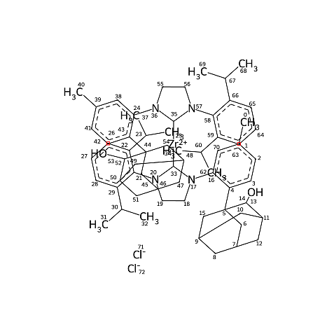 Cc1ccc(C23CC4CC(CC(C4)C2O)C3)c(N2CCN(c3c(C(C)C)cccc3C(C)C)[CH]2[Zr+2][CH]2N(c3cc(C)ccc3C34CC5CC(CC(C5)C3O)C4)CCN2c2c(C(C)C)cccc2C(C)C)c1.[Cl-].[Cl-]